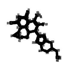 COC1c2c(c(=O)[nH]c(=O)n2C2CC2)C(N)=C(F)C1c1cc2c(s1)CCC(CO)C2